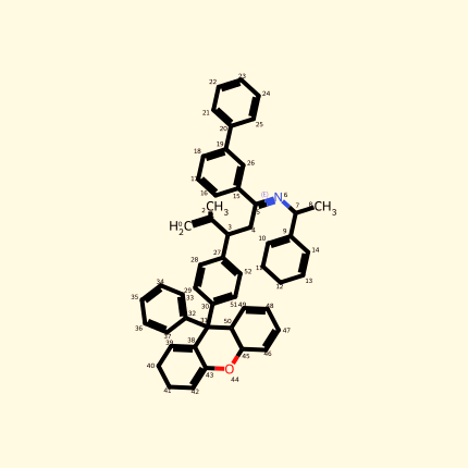 C=C(C)C(C/C(=N\C(C)C1=CCCC=C1)c1cccc(-c2ccccc2)c1)c1ccc(C2(c3ccccc3)C3=CCCC=C3OC3C=CC=CC32)cc1